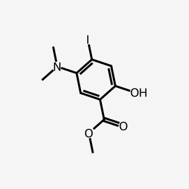 COC(=O)c1cc(N(C)C)c(I)cc1O